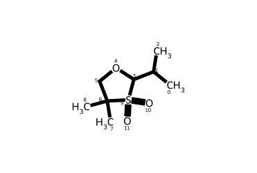 CC(C)C1OCC(C)(C)S1(=O)=O